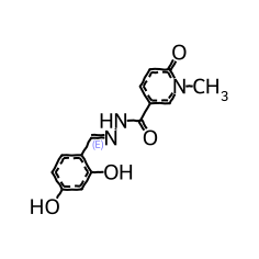 Cn1cc(C(=O)N/N=C/c2ccc(O)cc2O)ccc1=O